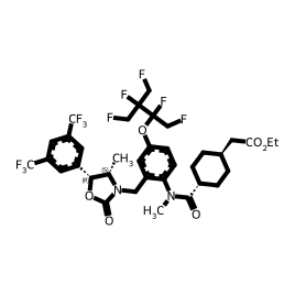 CCOC(=O)C[C@H]1CC[C@H](C(=O)N(C)c2ccc(OC(F)(CF)C(F)(CF)CF)cc2CN2C(=O)O[C@H](c3cc(C(F)(F)F)cc(C(F)(F)F)c3)[C@@H]2C)CC1